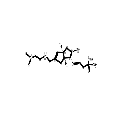 CCCC[C@](C)(O)C/C=C/[C@@H]1[C@H]2CC(CNCCN(C)C)=C[C@H]2C[C@H]1O